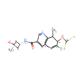 CC1c2ncc(C(=O)N[C@H]3C[C@](C)(O)C3)cc2C=C(Cl)C1OC(F)F